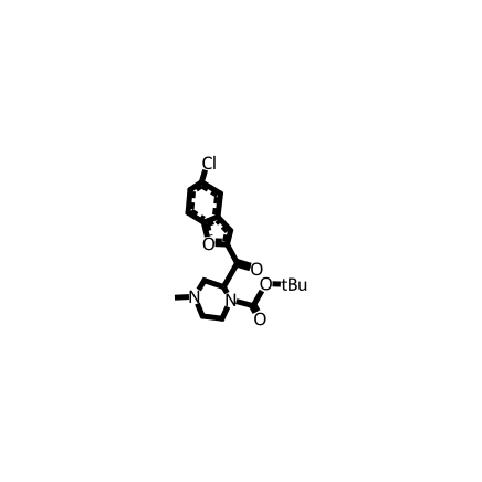 CN1CCN(C(=O)OC(C)(C)C)C(C(=O)c2cc3cc(Cl)ccc3o2)C1